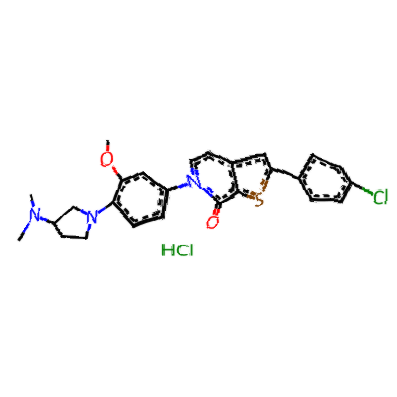 COc1cc(-n2ccc3cc(-c4ccc(Cl)cc4)sc3c2=O)ccc1N1CCC(N(C)C)C1.Cl